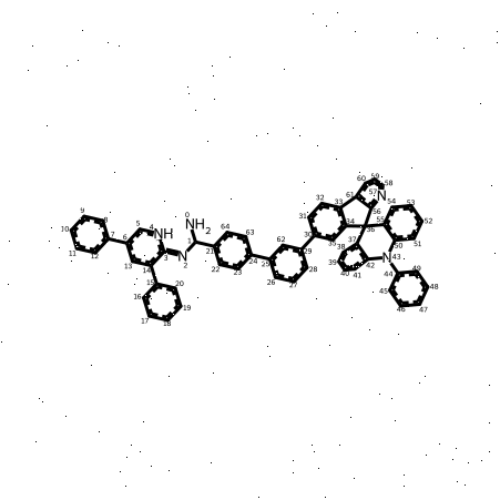 NC(/N=c1\[nH]cc(-c2ccccc2)cc1-c1ccccc1)c1ccc(-c2cccc(-c3ccc4c(c3)C3(c5ccccc5N(c5ccccc5)c5ccccc53)c3ncccc3-4)c2)cc1